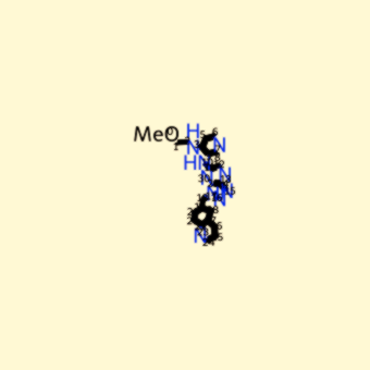 COCCNc1ccncc1Nc1cnc2nnn(Cc3ccc4ncccc4c3)c2n1